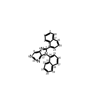 c1ccc2c(-c3nc4cncnc4n3-c3cccc4ccccc34)cccc2c1